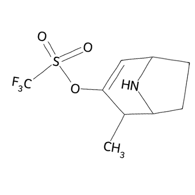 CC1C(OS(=O)(=O)C(F)(F)F)=CC2CCC1N2